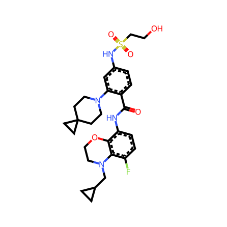 O=C(Nc1ccc(F)c2c1OCCN2CC1CC1)c1ccc(NS(=O)(=O)CCO)cc1N1CCC2(CC1)CC2